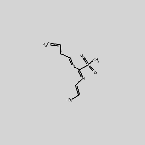 C=CC/C=N/C(=N\C=C\CCCC)S(C)(=O)=O